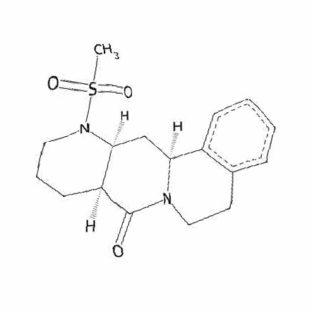 CS(=O)(=O)N1CCC[C@@H]2C(=O)N3CCc4ccccc4[C@@H]3C[C@@H]21